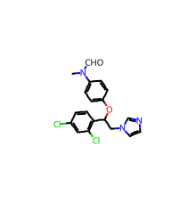 CN(C=O)c1ccc(OC(Cn2ccnc2)c2ccc(Cl)cc2Cl)cc1